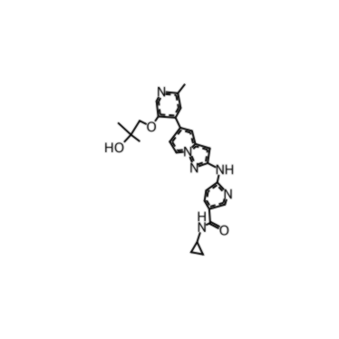 Cc1cc(-c2ccn3nc(Nc4ccc(C(=O)NC5CC5)cn4)cc3c2)c(OCC(C)(C)O)cn1